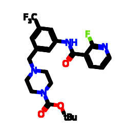 CC(C)(C)OC(=O)N1CCN(Cc2cc(NC(=O)c3cccnc3F)cc(C(F)(F)F)c2)CC1